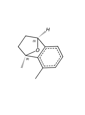 Cc1cccc2c1[C@@]1(C)CC[C@@H]2O1